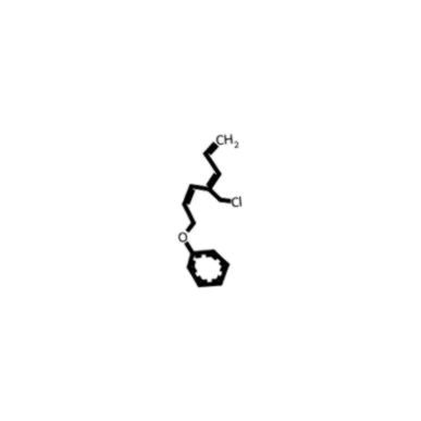 C=C/C=C(\C=C/COc1ccccc1)CCl